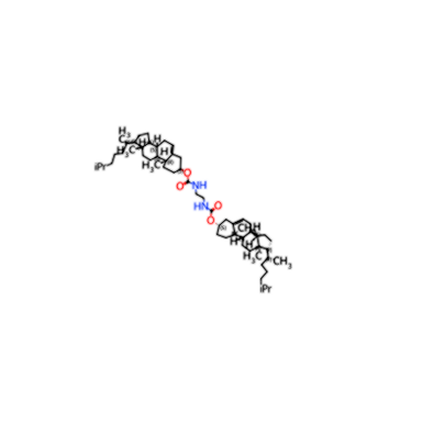 CC(C)CCC[C@@H](C)[C@H]1CC[C@H]2[C@@H]3CC=C4C[C@@H](OC(=O)NCCNC(=O)O[C@H]5CC[C@@]6(C)C(=CC[C@H]7[C@@H]8CC[C@H]([C@H](C)CCCC(C)C)[C@@]8(C)CC[C@@H]76)C5)CC[C@]4(C)[C@H]3CC[C@]12C